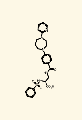 O=C(NC[C@H](NS(=O)(=O)c1ccccc1)C(=O)O)c1ccc(N2CCCN(c3ncccn3)CC2)cc1